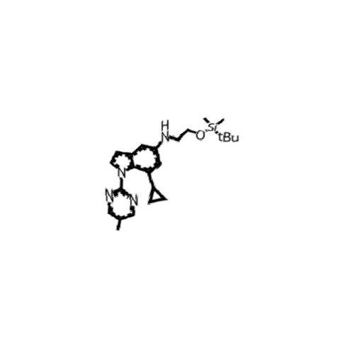 Cc1cnc(-n2ccc3cc(NCCO[Si](C)(C)C(C)(C)C)cc(C4CC4)c32)nc1